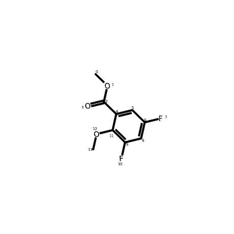 COC(=O)c1cc(F)cc(F)c1OC